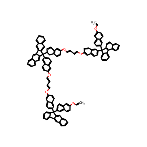 C=COc1ccc2cc(C3(c4ccc5cc(O/C=C/C=C/Oc6ccc7cc(C8(C9C=Cc%10cc(O/C=C/C=C/Oc%11ccc%12cc(C%13(c%14ccc%15cc(OC=C)ccc%15c%14)c%14ccccc%14-c%14c%13ccc%13ccccc%14%13)ccc%12c%11)ccc%10C9)c9cc%10ccccc%10cc9-c9cc%10ccccc%10cc98)ccc7c6)ccc5c4)c4ccccc4-c4cc5ccccc5cc43)ccc2c1